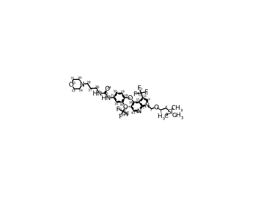 C[Si](C)(C)CCOCn1cc(C(F)(F)F)c2c(Oc3ccc(NC(=O)NCCCN4CCOCC4)cc3OC(F)(F)F)ccnc21